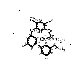 Cc1cc(Oc2nc(O[C@@H](C(=O)O)C(C)(C)C)c(F)cc2F)cc(-c2cccc(CN)c2)c1